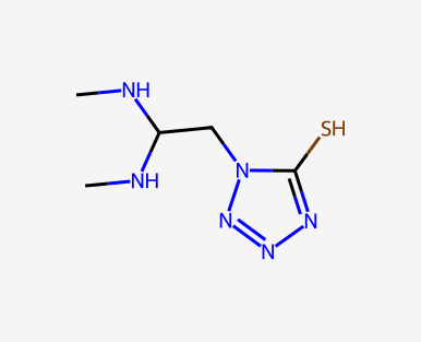 CNC(Cn1nnnc1S)NC